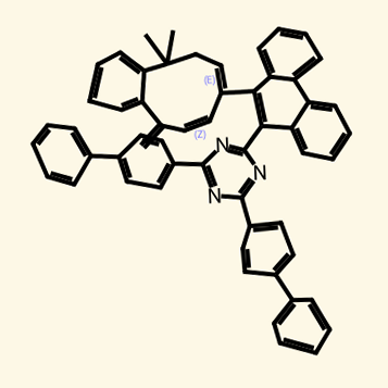 C=C1/C=C\C(c2c(-c3nc(-c4ccc(-c5ccccc5)cc4)nc(-c4ccc(-c5ccccc5)cc4)n3)c3ccccc3c3ccccc23)=C/CC(C)(C)c2ccccc21